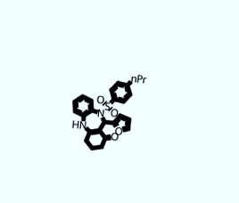 CCCc1ccc(S(=O)(=O)N2c3ccccc3NC3=C(C(=O)CCC3)C2c2ccco2)cc1